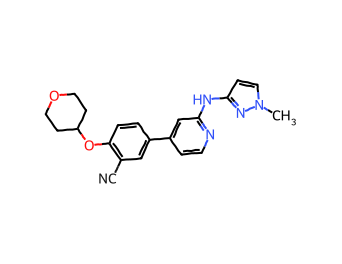 Cn1ccc(Nc2cc(-c3ccc(OC4CCOCC4)c(C#N)c3)ccn2)n1